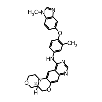 Cc1cc(Nc2ncnc3cc4c(cc23)N2CCOC[C@H]2CO4)ccc1Oc1ccc2c(c1)ncn2C